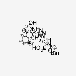 Cc1c(-c2nnn(CCC(NC(=O)OC(C)(C)C)C(=O)O)n2)[nH]c(CO)c1C(=O)c1cccc(Br)c1